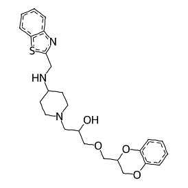 OC(COCC1COc2ccccc2O1)CN1CCC(NCc2nc3ccccc3s2)CC1